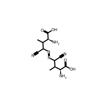 CC(C(C#N)N=NC(C#N)C(C)[C@H](N)C(=O)O)[C@H](N)C(=O)O